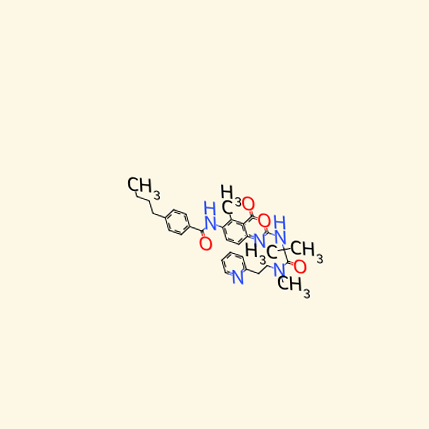 CCCCc1ccc(C(=O)Nc2ccc3nc(NC(C)(C)C(=O)N(C)CCc4ccccn4)oc(=O)c3c2C)cc1